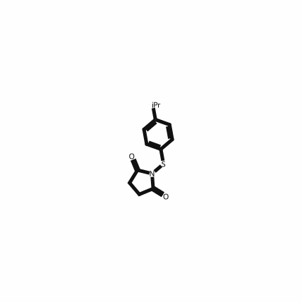 CC(C)c1ccc(SN2C(=O)CCC2=O)cc1